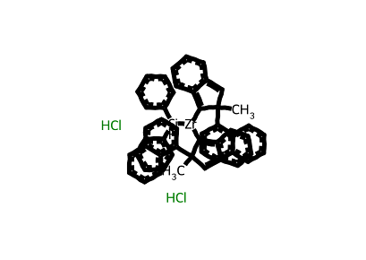 CC1(c2cccc3ccccc23)C=c2ccccc2=[C]1[Zr]([C]1=c2ccccc2=CC1(C)c1cccc2ccccc12)[SiH](c1ccccc1)c1ccccc1.Cl.Cl